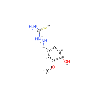 COc1cc(CNNC(N)=S)ccc1O